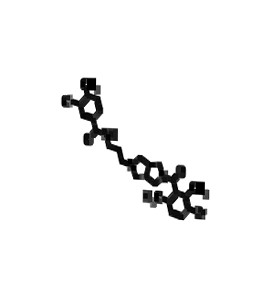 Cc1ccc(C(=O)NCCCN2CC3CN(C(=O)c4c(C)ccc(Br)c4C)CC3C2)cc1Cl